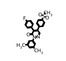 Cc1cc(C)cc(-n2ncc(-c3ccc(S(C)(=O)=O)cc3)c(-c3ccc(F)cc3)c2=O)c1